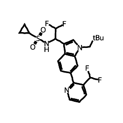 CC(C)(C)Cn1cc(C(NS(=O)(=O)C2CC2)C(F)F)c2ccc(-c3ncccc3C(F)F)cc21